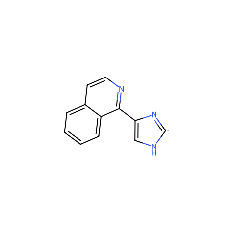 [c]1nc(-c2nccc3ccccc23)c[nH]1